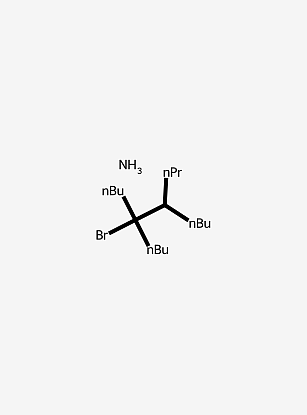 CCCCC(CCC)C(Br)(CCCC)CCCC.N